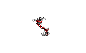 COC(=O)NCC(=O)N1CCC[C@H]1c1ncc(-c2ccc3cc(-c4ccc(-c5cnc([C@@H]6CCCN6C[C@](C=O)(NC(=O)OC)c6ccccc6C)[nH]5)cc4)ccc3c2)[nH]1